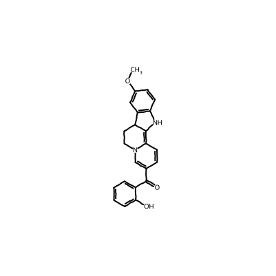 COc1ccc2c(c1)C1CCN3C=C(C(=O)c4ccccc4O)C=CC3=C1N2